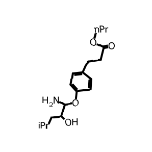 CCCOC(=O)CCc1ccc(OC(N)C(O)CC(C)C)cc1